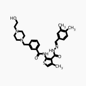 Cc1ccc(/C=N/NC(=O)c2c(C)csc2NC(=O)c2cccc(CN3CCN(CCO)CC3)c2)cc1C